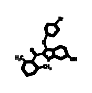 Cc1cccc(C)c1C(=O)c1sc2cc(O)ccc2c1Oc1ccc(Br)cc1